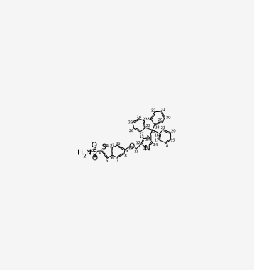 NS(=O)(=O)c1cc2ccc(OCc3cn(C(c4ccccc4)(c4ccccc4)c4ccccc4)cn3)cc2s1